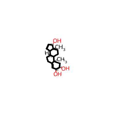 C[C@]12C[C@H](O)[C@@H](O)C=C1CC[C@@H]1C2CC[C@@]2(C)C1CC[C@@H]2O